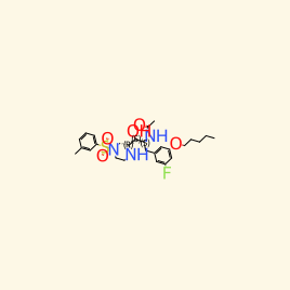 CCCCCOc1cc(F)cc(C[C@H](NC(C)=O)[C@H](O)[C@H]2CN(S(=O)(=O)c3cccc(C)c3)CCN2)c1